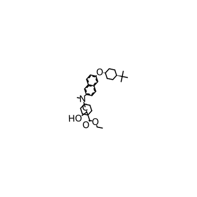 CCOC(=O)C12CCC(N(C)c3ccc4cc(O[C@H]5CC[C@H](C(C)(C)C)CC5)ccc4c3)(CC1)CC2O